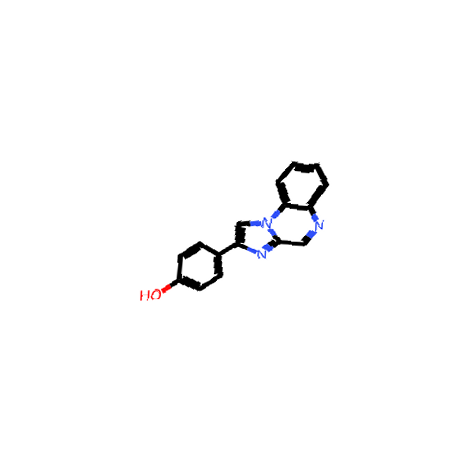 Oc1ccc(-c2cn3c(cnc4ccccc43)n2)cc1